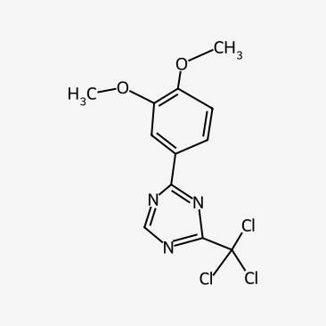 COc1ccc(-c2ncnc(C(Cl)(Cl)Cl)n2)cc1OC